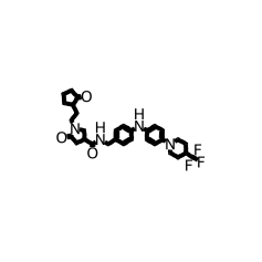 O=C1CCCC1CCN1CC(C(=O)NCc2ccc(Nc3ccc(N4CCC(C(F)(F)F)CC4)cc3)cc2)CC1=O